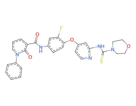 O=C(Nc1ccc(Oc2ccnc(NC(=S)N3CCOCC3)c2)c(F)c1)c1cccn(-c2ccccc2)c1=O